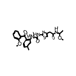 COc1ccccc1C(=O)c1ccc(C)cc1NC(=O)Nc1nc(CC(=O)NC(C)OC)cs1